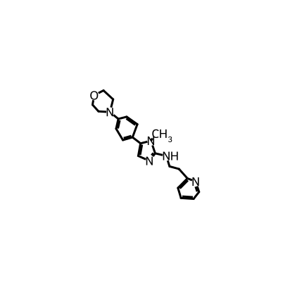 Cn1c(-c2ccc(N3CCOCC3)cc2)cnc1NCCc1ccccn1